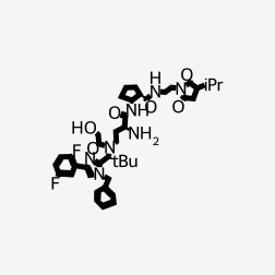 CC(C)C1CC(=O)N(CCNC(=O)[C@@H]2CCC[C@@H]2NC(=O)[C@@H](N)CCN(C(=O)CO)[C@@H](c2nc(-c3cc(F)ccc3F)cn2Cc2ccccc2)C(C)(C)C)C1=O